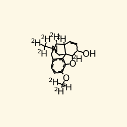 [2H]C([2H])([2H])Oc1ccc2c3c1OC1([2H])C(O)C=C[C@@]4([2H])[C@@]([2H])(C2)N(C([2H])([2H])[2H])CC[C@]314